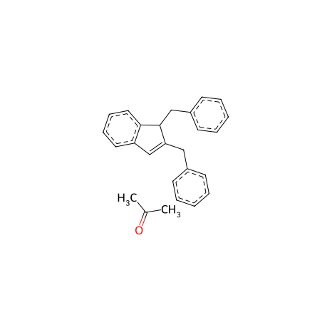 C1=C(Cc2ccccc2)C(Cc2ccccc2)c2ccccc21.CC(C)=O